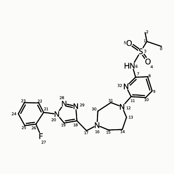 CC(C)S(=O)(=O)Nc1cccc(N2CCCN(Cc3cn(-c4ccccc4F)nn3)CC2)n1